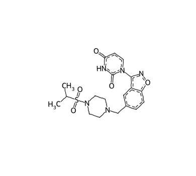 CC(C)S(=O)(=O)N1CCN(Cc2ccc3onc(-n4ccc(=O)[nH]c4=O)c3c2)CC1